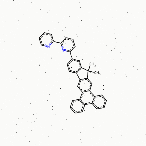 CC1(C)c2cc(-c3cccc(-c4ccccn4)n3)ccc2-c2cc3c4ccccc4c4ccccc4c3cc21